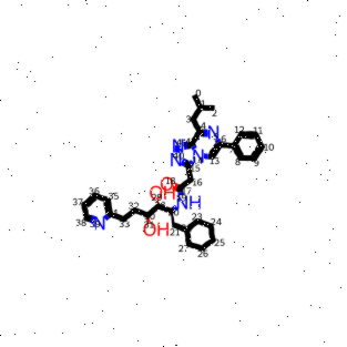 CC(C)Cc1nc(-c2ccccc2)cn2c(CC(=O)N[C@@H](CC3CCCCC3)[C@@H](O)[C@@H](O)CCc3ccccn3)nnc12